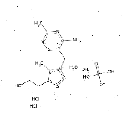 Cc1ncc(C[n+]2csc(CCO)c2C)c(N)n1.Cl.Cl.O.O.O=P([O-])(O)O